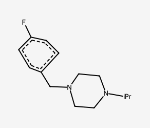 CC(C)N1CCN(Cc2ccc(F)cc2)CC1